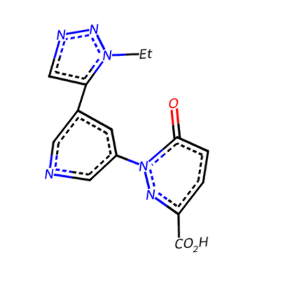 CCn1nncc1-c1cncc(-n2nc(C(=O)O)ccc2=O)c1